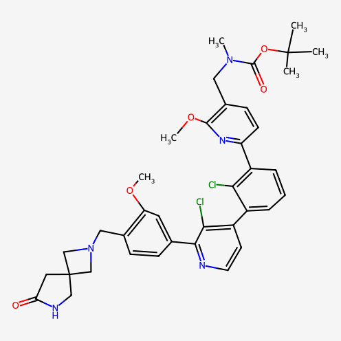 COc1cc(-c2nccc(-c3cccc(-c4ccc(CN(C)C(=O)OC(C)(C)C)c(OC)n4)c3Cl)c2Cl)ccc1CN1CC2(CNC(=O)C2)C1